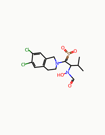 CC(C)C(C(N1CCc2cc(Cl)c(Cl)cc2C1)=S(=O)=O)N(O)C=O